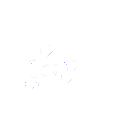 N#Cc1ccccc1-c1cc(-c2ccccn2)cn(-c2cccc3cccnc23)c1=O